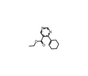 CCOC(=O)c1cn[c]nc1C1=CCCCC1